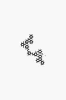 CCc1cccc(C)c1N(c1ccc(C=Cc2cccc(C=Cc3ccc(N(c4ccc(C=C(c5ccccc5)c5ccccc5)cc4)c4c(C)cccc4CC)cc3)c2)cc1)c1ccc(C=C(c2ccccc2)c2ccccc2)cc1